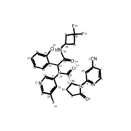 N#Cc1ccnc(N2C(=O)CC[C@@H]2C(=O)N(c2cncc(F)c2)C(C(=O)NC2CC(F)(F)C2)c2ccccc2Cl)c1